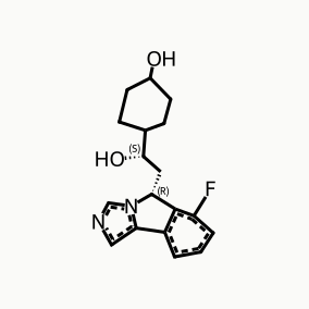 OC1CCC([C@@H](O)C[C@@H]2c3c(F)cccc3-c3cncn32)CC1